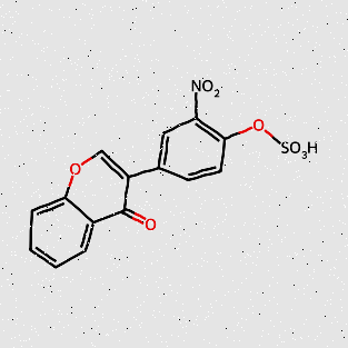 O=c1c(-c2ccc(OS(=O)(=O)O)c([N+](=O)[O-])c2)coc2ccccc12